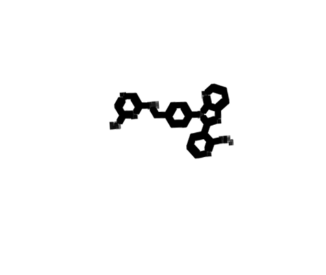 N#Cc1cncc(NCc2ccc(-n3c(-c4cccnc4N)nc4cccnc43)cc2)n1